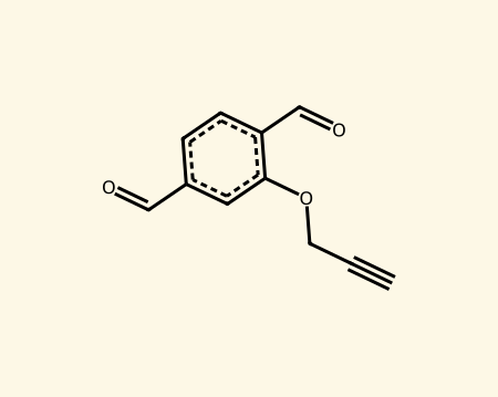 C#CCOc1cc(C=O)ccc1C=O